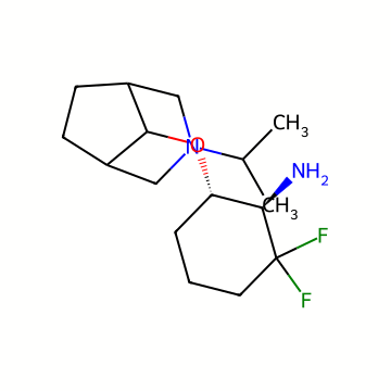 CC(C)N1CC2CCC(C1)C2O[C@H]1CCCC(F)(F)[C@@H]1N